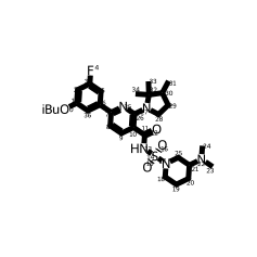 CC(C)COc1cc(F)cc(-c2ccc(C(=O)NS(=O)(=O)N3CCCC(N(C)C)C3)c(N3CCC(C)C3(C)C)n2)c1